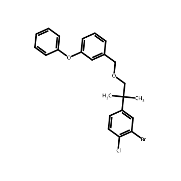 CC(C)(COCc1cccc(Oc2ccccc2)c1)c1ccc(Cl)c(Br)c1